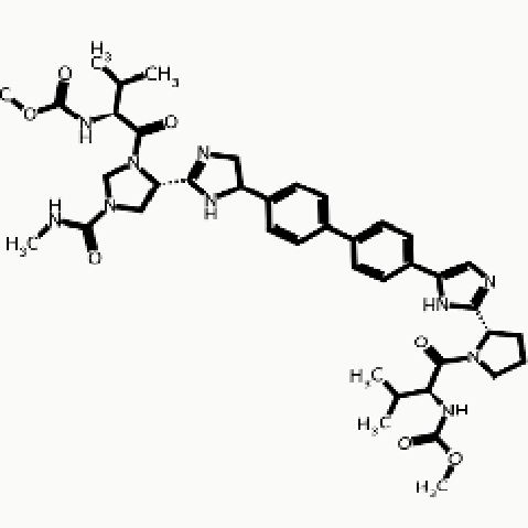 CNC(=O)N1C[C@@H](C2=NCC(c3ccc(-c4ccc(-c5cnc([C@@H]6CCCN6C(=O)[C@@H](NC(=O)OC)C(C)C)[nH]5)cc4)cc3)N2)N(C(=O)[C@@H](NC(=O)OC)C(C)C)C1